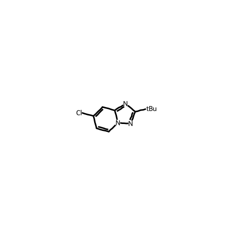 CC(C)(C)c1nc2cc(Cl)ccn2n1